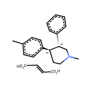 Cc1ccc([C@@H]2CCN(C)C[C@H]2c2ccccc2)cc1.O=C(O)C=CC(=O)O